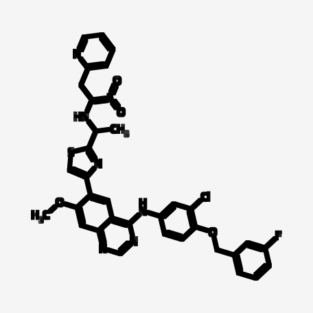 COc1cc2ncnc(Nc3ccc(OCc4cccc(F)c4)c(Cl)c3)c2cc1-c1csc(C(C)NC(Cc2ccccn2)=S(=O)=O)n1